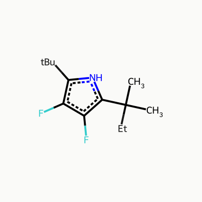 CCC(C)(C)c1[nH]c(C(C)(C)C)c(F)c1F